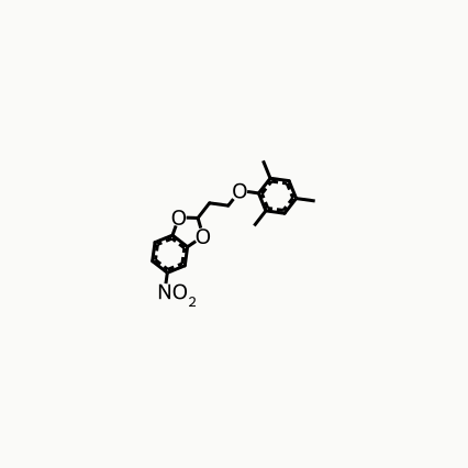 Cc1cc(C)c(OCCC2Oc3ccc([N+](=O)[O-])cc3O2)c(C)c1